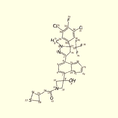 CN1N=C(c2ccc(C3(O)CN(C(=O)CC4CSC4)C3)c3ccccc23)CC1(c1cc(Cl)c(F)c(Cl)c1)C(F)(F)F